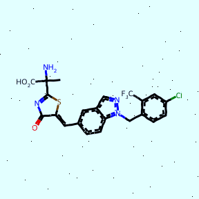 CC(N)(C(=O)O)C1=NC(=O)C(=Cc2ccc3c(cnn3Cc3ccc(Cl)cc3C(F)(F)F)c2)S1